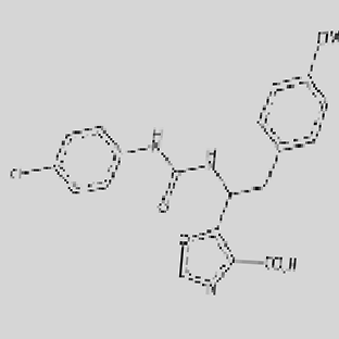 COc1ccc(CC(NC(=O)Nc2ccc(Cl)cc2)c2ocnc2C(=O)O)cc1